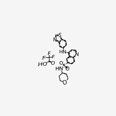 O=C(O)C(F)(F)F.O=S(=O)(NC1CCOCC1)c1ccc2nccc(Nc3ccc4scnc4c3)c2c1